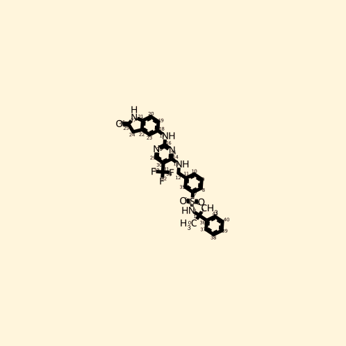 CC(C)(NS(=O)(=O)c1cccc(CNc2nc(Nc3ccc4c(c3)CC(=O)N4)ncc2C(F)(F)F)c1)c1ccccc1